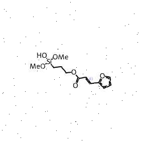 CO[Si](O)(CCCOC(=O)/C=C/c1ccco1)OC